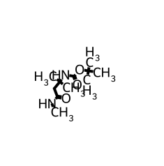 CNC(=O)CC(C)(C)NC(=O)OC(C)(C)C